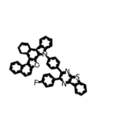 Fc1ccc(-c2nc3c(nc2-c2ccc(-n4c5ccccc5c5c6c(c7c(oc8ccc9ccccc9c87)c54)CCC=C6)cc2)sc2ccccc23)cc1